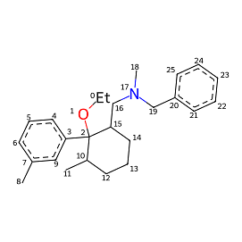 CCOC1(c2cccc(C)c2)C(C)CCCC1CN(C)Cc1ccccc1